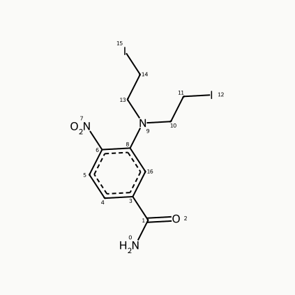 NC(=O)c1ccc([N+](=O)[O-])c(N(CCI)CCI)c1